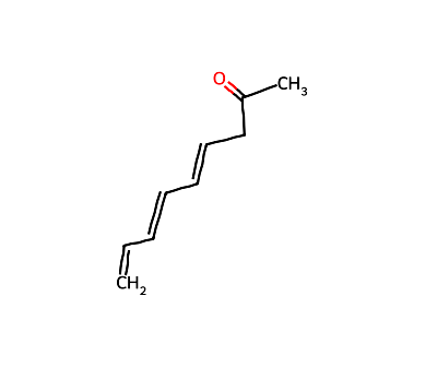 C=CC=CC=CCC(C)=O